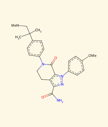 CNCC(C)(C)c1ccc(N2CCc3c(C(N)=O)nn(-c4ccc(OC)cc4)c3C2=O)cc1